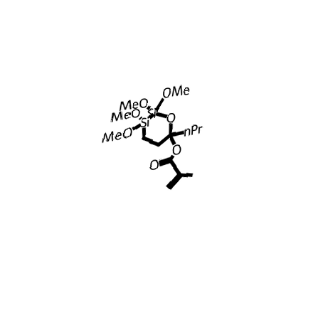 C=C(C)C(=O)OC1(CCC)CC[Si](OC)(OC)[Si](OC)(OC)O1